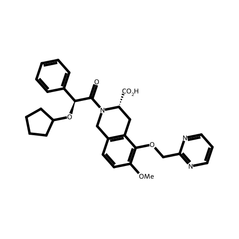 COc1ccc2c(c1OCc1ncccn1)C[C@@H](C(=O)O)N(C(=O)[C@@H](OC1CCCC1)c1ccccc1)C2